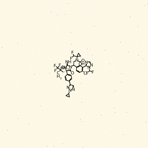 CC(C)(C[C@]1(c2ccc(-c3cnn(C4CC4)n3)cc2)NC(=N)N(C(CN(C(=O)O)C2(C(F)F)CC2)c2ccc(Cl)c(-c3ncnn3C(F)F)c2)C1=O)C(F)(F)F